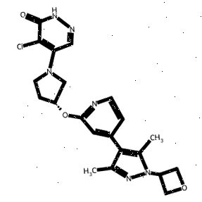 Cc1nn(C2COC2)c(C)c1-c1ccnc(O[C@@H]2CCN(c3cn[nH]c(=O)c3Cl)C2)c1